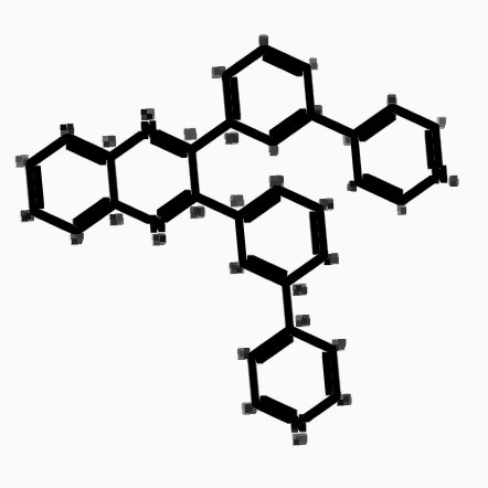 c1cc(-c2ccncc2)cc(-c2nc3ccccc3nc2-c2cccc(-c3ccncc3)c2)c1